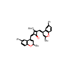 COC1=C(/C=C2\C=C(C(C)(C)C)Oc3ccc(C(C)C)cc32)C(=O)/C1=C\C1=CC(C(C)(C)C)Oc2ccc(C(C)C)cc21